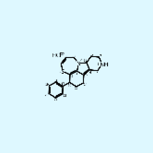 C1=CSC2=C3C(=C4CNCCC4N3C1)CCC2c1ccccc1.Cl